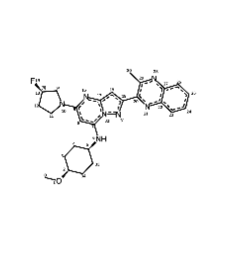 CO[C@H]1CC[C@@H](Nc2cc(N3CC[C@@H](F)C3)nc3cc(-c4nc5ccccc5nc4C)nn23)CC1